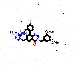 COc1cc(Cn2cnc3c(-c4ccc(F)cc4C)cc(Cn4cnn(C)c4=N)cc3c2=O)cc(OC)c1